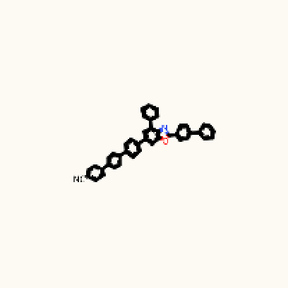 N#Cc1ccc(-c2ccc(-c3ccc(-c4cc(-c5ccccc5)c5nc(-c6ccc(-c7ccccc7)cc6)oc5c4)cc3)cc2)cc1